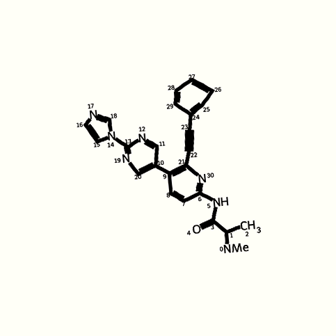 CNC(C)C(=O)Nc1ccc(-c2cnc(-n3ccnc3)nc2)c(C#Cc2ccccc2)n1